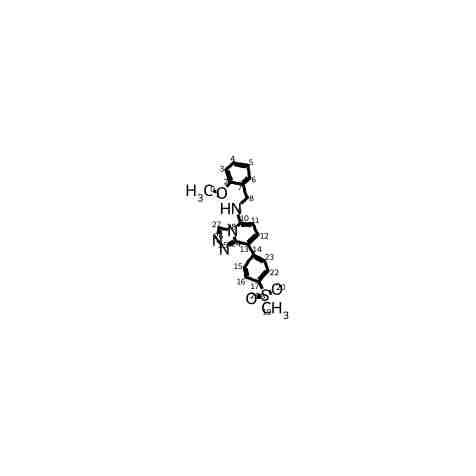 COc1ccccc1CNc1ccc(-c2ccc(S(C)(=O)=O)cc2)c2nncn12